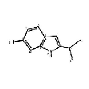 CC(C)c1cc2ccc(I)cc2[nH]1